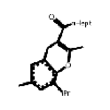 CCCCCCCC(=O)C1=C(C)Oc2c(cc(C)cc2C(C)C)C1